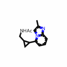 CC(=O)NCC1CC1c1cccc2nc(C)cn12